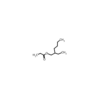 [CH2]CC(=O)OCC(CC)CCCC